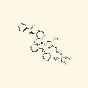 CC(C)(C)OOC[C@H]1O[C@](n2cnc3c(NC(=O)c4ccccc4)ncnc32)([SiH](c2ccccc2)c2ccccc2)C[C@@H]1O